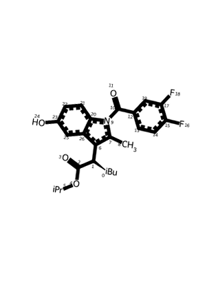 CC[C@H](C)C(C(=O)OC(C)C)c1c(C)n(C(=O)c2ccc(F)c(F)c2)c2ccc(O)cc12